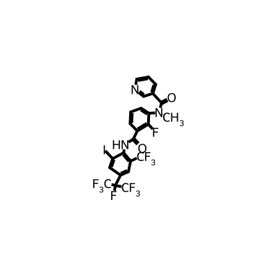 CN(C(=O)c1cccnc1)c1cccc(C(=O)Nc2c(I)cc(C(F)(C(F)(F)F)C(F)(F)F)cc2C(F)(F)F)c1F